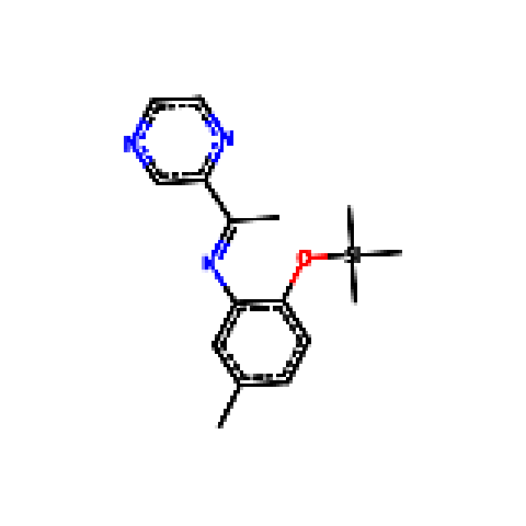 CC(=Nc1cc(C)ccc1O[Si](C)(C)C)c1cnccn1